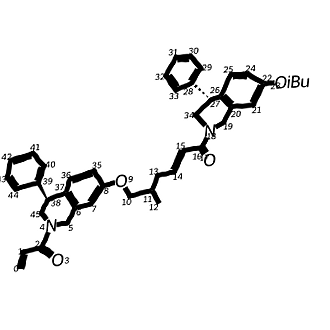 C=CC(=O)N1Cc2cc(OCC(C)C/C=C/C(=O)N3Cc4cc(OCC(C)C)ccc4[C@@H](c4ccccc4)C3)ccc2[C@H](c2ccccc2)C1